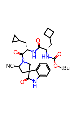 CC(C)(C)OC(=O)N[C@@H](CC1CCC1)C(=O)N[C@@H](CC1CC1)C(=O)N1C[C@]2(C[C@H]1C#N)C(=O)Nc1ccccc12